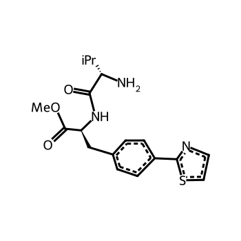 COC(=O)[C@H](Cc1ccc(-c2nccs2)cc1)NC(=O)[C@@H](N)C(C)C